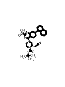 C[S+]([O-])c1nc2c(c(N3CCN(C(=O)OC(C)(C)C)[C@@H](CC#N)C3)n1)CCC(c1cccc3ccccc13)=C2